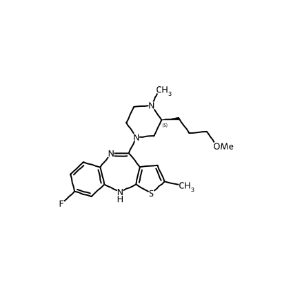 COCCC[C@H]1CN(C2=Nc3ccc(F)cc3Nc3sc(C)cc32)CCN1C